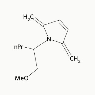 C=c1ccc(=C)n1C(CCC)COC